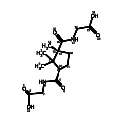 CC1(C)[C@H](C(=O)NCC(=O)O)CC[C@@]1(C)C(=O)NCC(=O)O